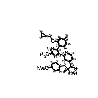 COc1ccc(CC2(I)N=NN=C2c2ccnc(-c3nc(C)[nH]c3-c3ccc(F)cc3OCC3CC3)c2)cc1